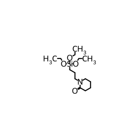 CCO[Si](CCCN1CCCCC1=O)(OCC)OCC